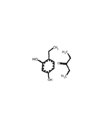 CCC(=O)CC.CCc1ccc(O)cc1O